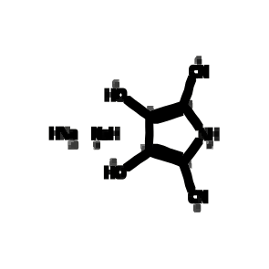 N#Cc1[nH]c(C#N)c(O)c1O.[NaH].[NaH]